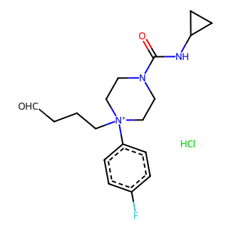 Cl.O=CCCC[N+]1(c2ccc(F)cc2)CCN(C(=O)NC2CC2)CC1